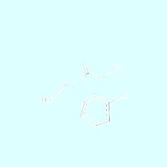 CCOC(=O)CC.Clc1ccccc1